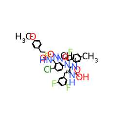 COc1ccc(CCS(=O)(=O)Nc2nn(C)c3c(-n4c([C@H](Cc5cc(F)cc(F)c5)NC(=O)O)nc5cc(C)cc(F)c5c4=O)ccc(Cl)c23)cc1